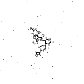 C[C@@H]1CN(C2COC2)CCN1c1ccncc1NC(=O)c1c(N)nn2c1NCC(F)C2